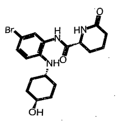 O=C1CCC[C@@H](C(=O)Nc2cc(Br)ccc2N[C@H]2CC[C@H](O)CC2)N1